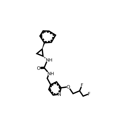 O=C(NCc1ccnc(OCC(F)CF)c1)N[C@@H]1C[C@H]1c1ccccc1